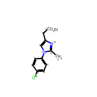 CCOC(=O)Cc1cn(-c2ccc(Cl)cc2)c(C)n1